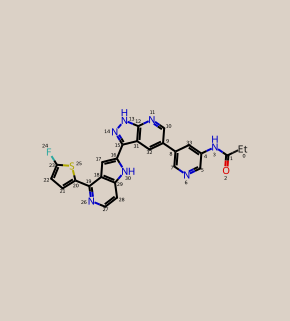 CCC(=O)Nc1cncc(-c2cnc3[nH]nc(-c4cc5c(-c6ccc(F)s6)nccc5[nH]4)c3c2)c1